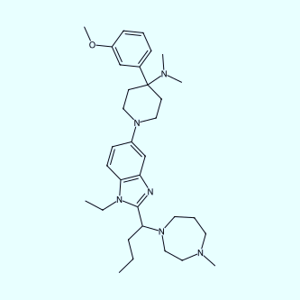 CCCC(c1nc2cc(N3CCC(c4cccc(OC)c4)(N(C)C)CC3)ccc2n1CC)N1CCCN(C)CC1